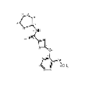 COc1ccccc1OC1CC(C(=O)NC2CCCCC2)C1